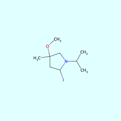 COC1(C)CC(I)N(C(C)C)C1